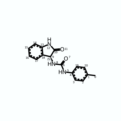 Cc1ccc(NC(=O)N[C@@H]2C(=O)Nc3ccccc32)cc1